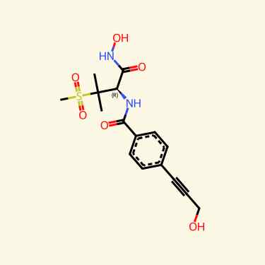 CC(C)([C@H](NC(=O)c1ccc(C#CCO)cc1)C(=O)NO)S(C)(=O)=O